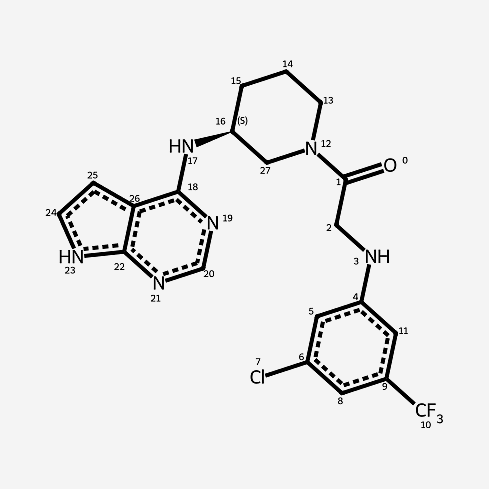 O=C(CNc1cc(Cl)cc(C(F)(F)F)c1)N1CCC[C@H](Nc2ncnc3[nH]ccc23)C1